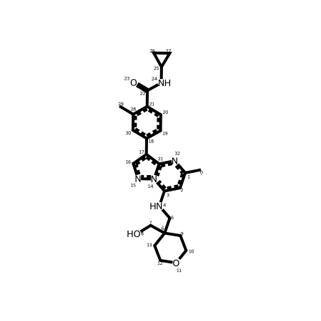 Cc1cc(NCC2(CO)CCOCC2)n2ncc(-c3ccc(C(=O)NC4CC4)c(C)c3)c2n1